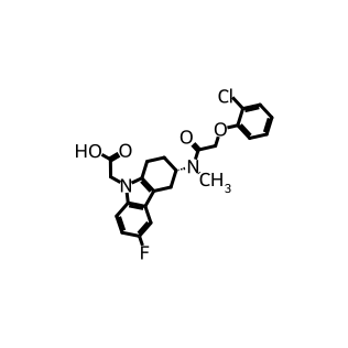 CN(C(=O)COc1ccccc1Cl)[C@H]1CCc2c(c3cc(F)ccc3n2CC(=O)O)C1